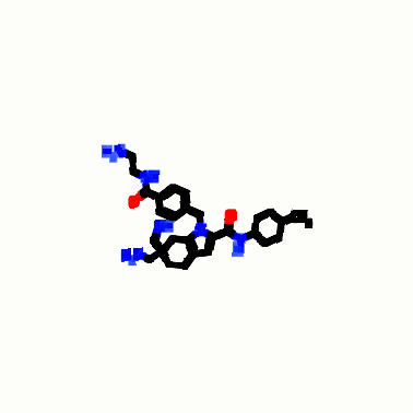 CC1CCC(NC(=O)c2cc3c(n2Cc2ccc(C(=O)NCCN)cc2)CC(C=N)(CN)CC3)CC1